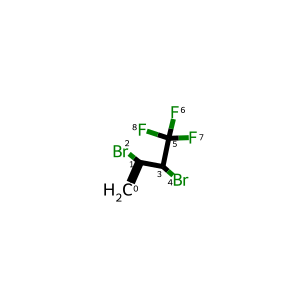 C=C(Br)C(Br)C(F)(F)F